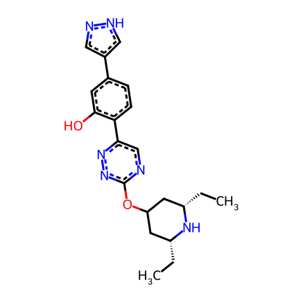 CC[C@@H]1CC(Oc2ncc(-c3ccc(-c4cn[nH]c4)cc3O)nn2)C[C@H](CC)N1